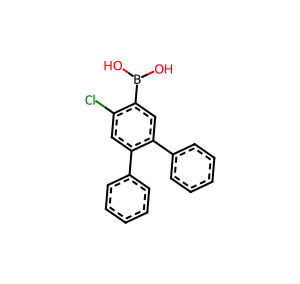 OB(O)c1cc(-c2ccccc2)c(-c2ccccc2)cc1Cl